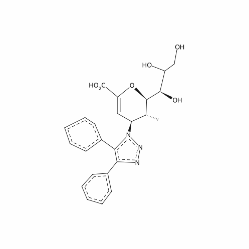 C[C@H]1[C@H]([C@H](O)C(O)CO)OC(C(=O)O)=C[C@@H]1n1nnc(-c2ccccc2)c1-c1ccccc1